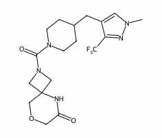 Cn1cc(CC2CCN(C(=O)N3CC4(COCC(=O)N4)C3)CC2)c(C(F)(F)F)n1